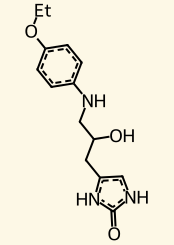 CCOc1ccc(NCC(O)Cc2c[nH]c(=O)[nH]2)cc1